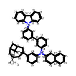 C[C@H]1CC2CC3CC(c4cccc(N(c5cccc(-c6cccc(-n7c8ccccc8c8ccccc87)c6)c5)c5ccc6ccccc6c5)c4)(C1)C[C@H]23